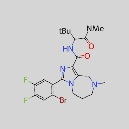 CNC(=O)C(NC(=O)c1nc(-c2cc(F)c(F)cc2Br)n2c1CN(C)CCC2)C(C)(C)C